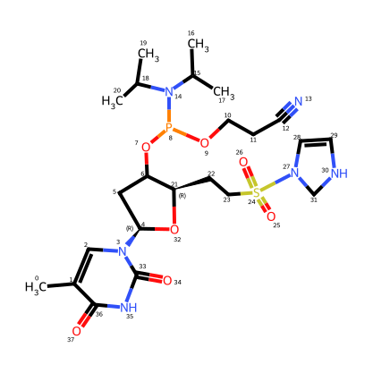 Cc1cn([C@H]2CC(OP(OCCC#N)N(C(C)C)C(C)C)[C@@H](CCS(=O)(=O)N3C=CNC3)O2)c(=O)[nH]c1=O